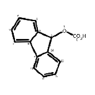 O=C(O)OC1c2ccccc2-c2ccccc21